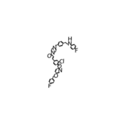 O=C(/C=C/c1ccc(Oc2ccc(OCc3ccc(F)cc3)cn2)c(Cl)c1)N1CCN(Cc2ccc(CCNc3ccc(F)cc3)cc2)CC1